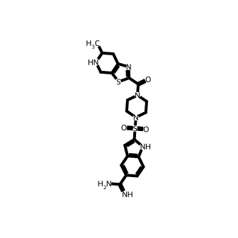 CC1Cc2nc(C(=O)N3CCN(S(=O)(=O)c4cc5cc(C(=N)N)ccc5[nH]4)CC3)sc2CN1